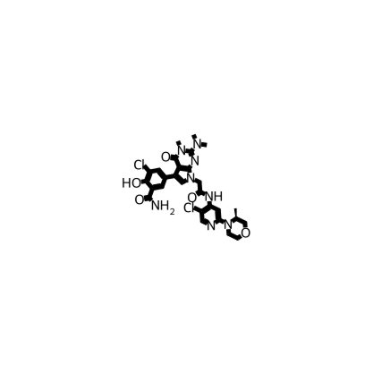 C[C@H]1COCCN1c1cc(NC(=O)Cn2cc(-c3cc(Cl)c(O)c(C(N)=O)c3)c3c(=O)n(C)c(N(C)C)nc32)c(Cl)cn1